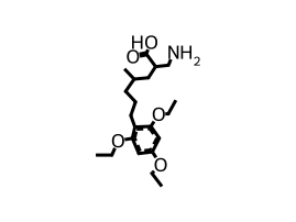 CCOc1cc(OCC)c(CCCC(C)CC(CN)C(=O)O)c(OCC)c1